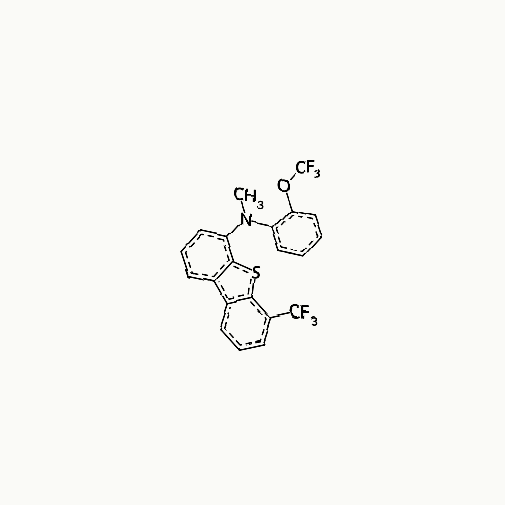 CN(c1ccccc1OC(F)(F)F)c1cccc2c1sc1c(C(F)(F)F)cccc12